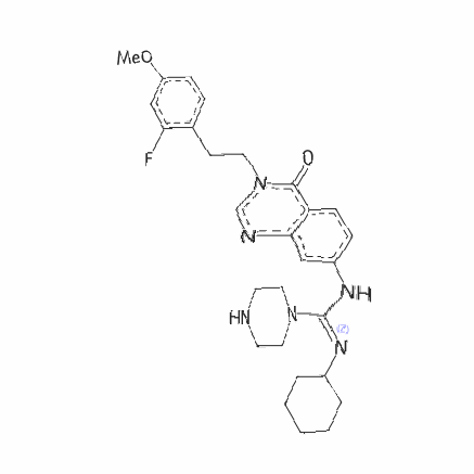 COc1ccc(CCn2cnc3cc(N/C(=N/C4CCCCC4)N4CCNCC4)ccc3c2=O)c(F)c1